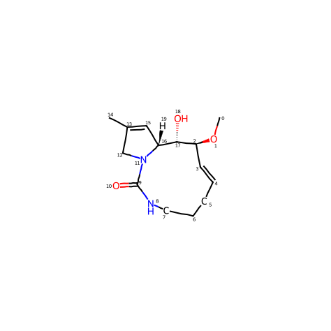 CO[C@H]1/C=C/CCCNC(=O)N2CC(C)=C[C@@H]2[C@@H]1O